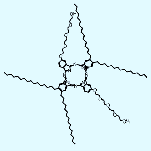 CCCCCCCCCCCCCCCCc1cc2c3nc4nc(nc5[nH]c(nc6nc(nc([nH]3)c2cc1CCCCCCCCCCCCCCCC)-c1ccc(OCCOCCOCCOCCO)cc1-6)c1cc(CCCCCCCCCCCCCCCC)c(CCCCCCCCCCCCCCCC)cc51)-c1cc(OCCOCCOCCOCCO)ccc1-4